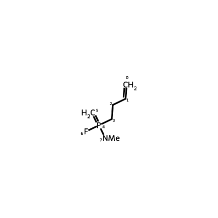 C=CCCP(=C)(F)NC